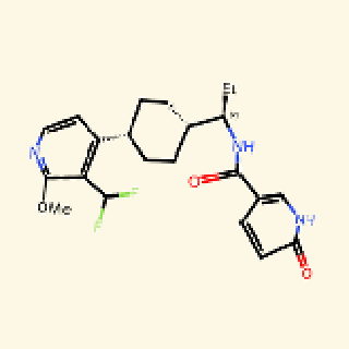 CC[C@@H](NC(=O)c1ccc(=O)[nH]c1)[C@H]1CC[C@@H](c2ccnc(OC)c2C(F)F)CC1